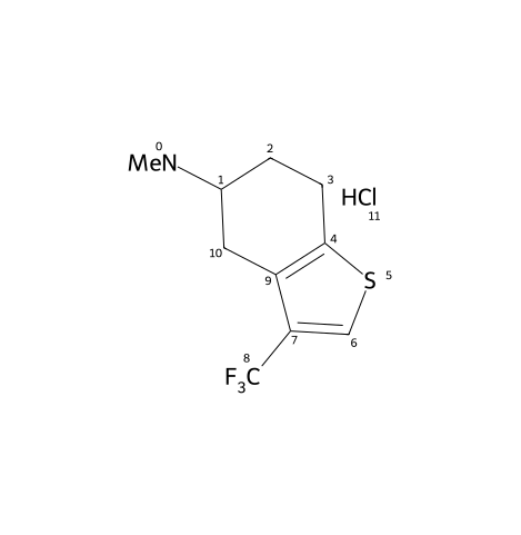 CNC1CCc2scc(C(F)(F)F)c2C1.Cl